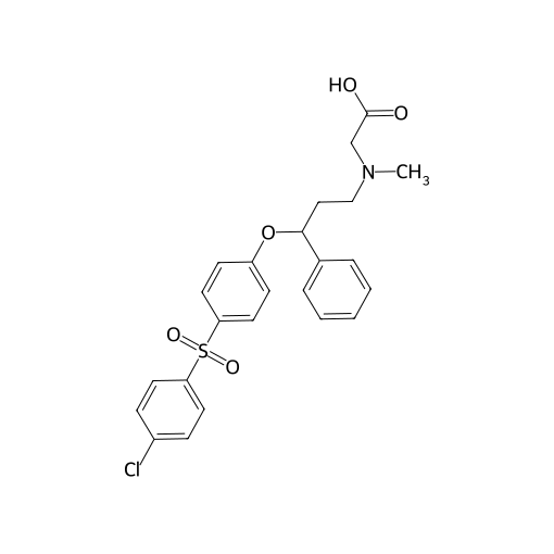 CN(CCC(Oc1ccc(S(=O)(=O)c2ccc(Cl)cc2)cc1)c1ccccc1)CC(=O)O